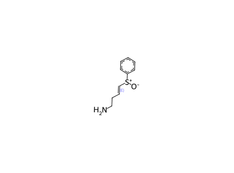 NCC/C=C/[S+]([O-])c1ccccc1